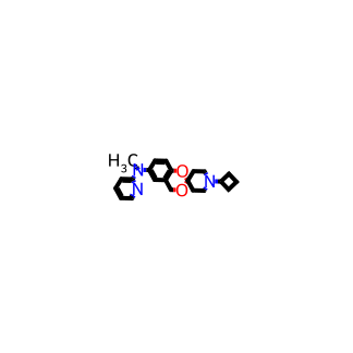 CN(c1ccc2c(c1)COC1(CCN(C3CCC3)CC1)O2)c1ccccn1